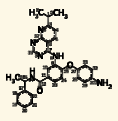 CC(C)c1ccc2c(Nc3cc(C(=O)NC(C)c4ccccc4)ccc3Oc3ccc(N)cc3)ncnc2n1